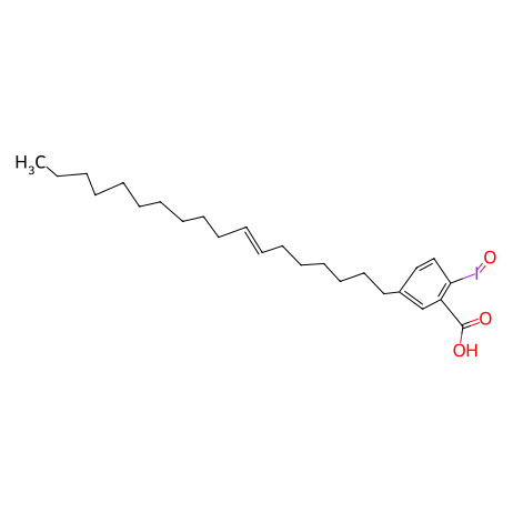 CCCCCCCCCCC=CCCCCCCc1ccc(I=O)c(C(=O)O)c1